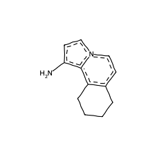 Nc1ccn2ccc3c(c12)CCCC3